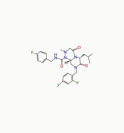 CC(C)C[C@H]1C(=O)N(Cc2ccc(F)cc2F)C[C@H]2N1C(=O)CN(C)N2C(=O)NCc1ccc(F)cc1